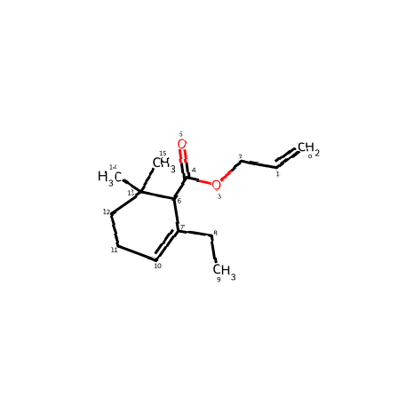 C=CCOC(=O)C1C(CC)=CCCC1(C)C